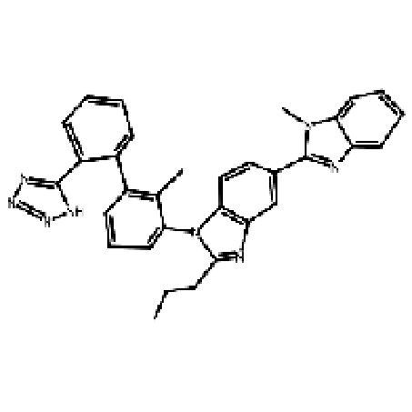 CCCc1nc2cc(-c3nc4ccccc4n3C)ccc2n1-c1cccc(-c2ccccc2-c2nnn[nH]2)c1C